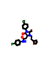 O=C(CC1C(=O)N(c2ccc(Cl)cc2)C(=S)N1CCc1cccs1)Nc1ccc(F)cc1